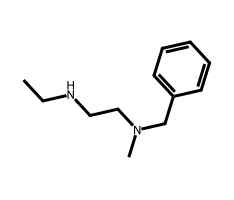 CCNCCN(C)Cc1ccccc1